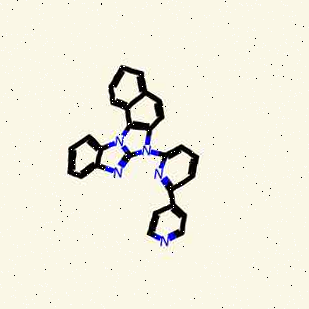 c1cc(-c2ccncc2)nc(-n2c3ccc4ccccc4c3n3c4ccccc4nc23)c1